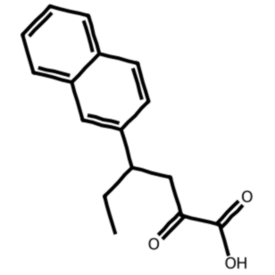 CCC(CC(=O)C(=O)O)c1ccc2ccccc2c1